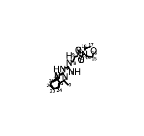 Cc1nc(NC(=N)NCCS(=O)(=O)N2CCOCC2)nc2ccccc12